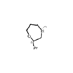 CC(C)[C@@H]1C[C@@H](C)CCCO1